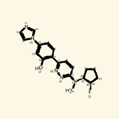 CN(c1ccc(-c2ccc(-n3ccnc3)cc2O)nn1)[C@H]1CCC[C@H]1F